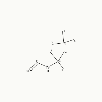 CC(C)(C)CC(C)(C)[N]C=O